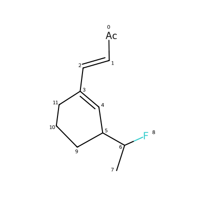 CC(=O)C=CC1=CC(C(C)F)CCC1